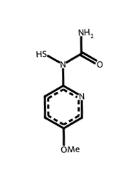 COc1ccc(N(S)C(N)=O)nc1